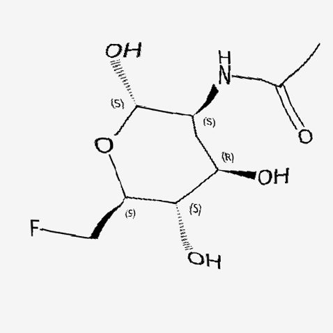 CC(=O)N[C@H]1[C@@H](O)[C@H](O)[C@@H](CF)O[C@@H]1O